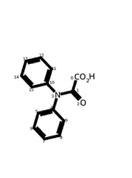 O=C(O)C(=O)N(c1ccccc1)c1ccccc1